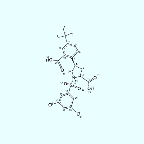 CC(C)(C)c1ccc([C@H]2CC(C(=O)O)N(S(=O)(=O)c3cc(Cl)cc(Cl)c3)C2)c(C(=O)O)c1